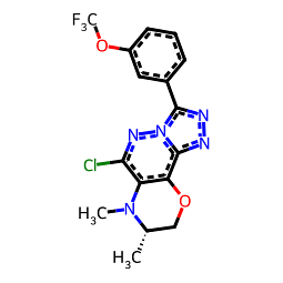 C[C@H]1COc2c(c(Cl)nn3c(-c4cccc(OC(F)(F)F)c4)nnc23)N1C